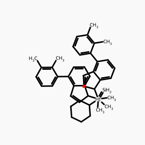 Cc1cccc(-c2cccc3c2C=C[CH]3[Hf]([CH3])([CH3])([CH3])(=[SiH2])([CH]2CCCCC2)[CH]2C=Cc3c(-c4cccc(C)c4C)cccc32)c1C